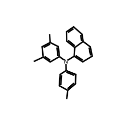 Cc1ccc(N(c2cc(C)cc(C)c2)c2cccc3ccccc23)cc1